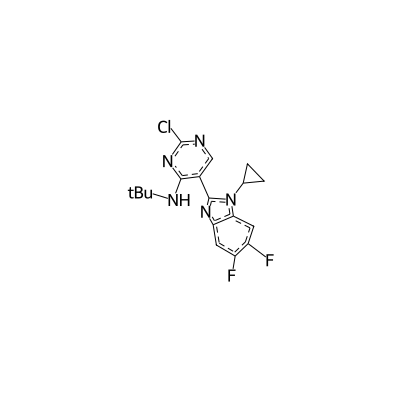 CC(C)(C)Nc1nc(Cl)ncc1-c1nc2cc(F)c(F)cc2n1C1CC1